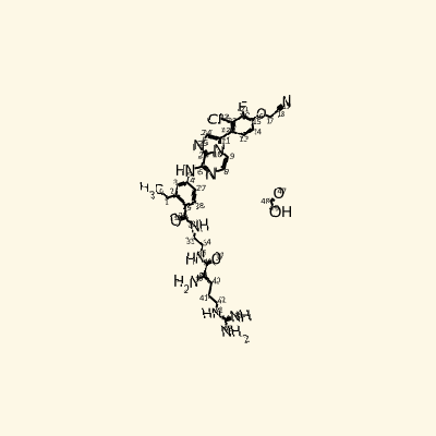 CCc1cc(Nc2nccn3c(-c4ccc(OCC#N)c(F)c4Cl)cnc23)ccc1C(=O)NCCNC(=O)[C@H](N)CCCNC(=N)N.O=CO